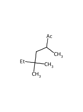 CCC(C)(C)CC(C)C(C)=O